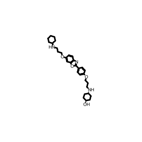 O[C@H]1CC[C@H](NCCCOc2ccc(-c3nc4ccc(OCCCNC5CCCCC5)cc4o3)cc2)CC1